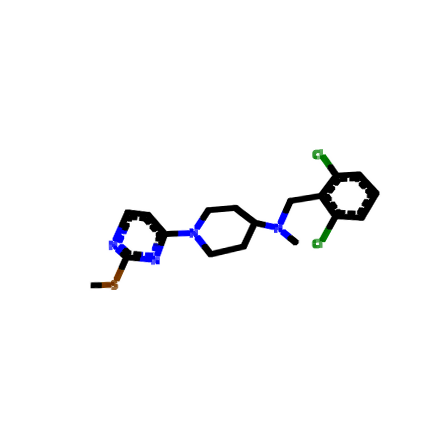 CSc1nccc(N2CCC(N(C)Cc3c(Cl)cccc3Cl)CC2)n1